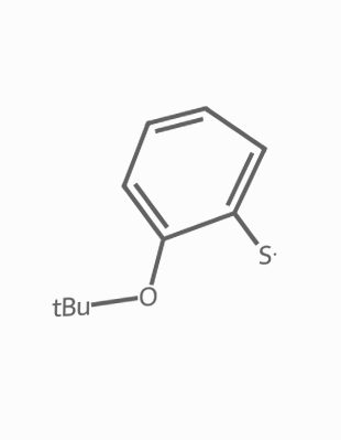 CC(C)(C)Oc1ccccc1[S]